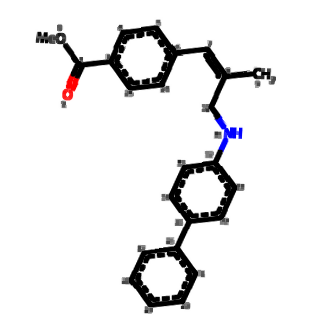 COC(=O)c1ccc(C=C(C)CNc2ccc(-c3ccccc3)cc2)cc1